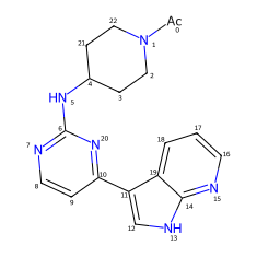 CC(=O)N1CCC(Nc2nccc(-c3c[nH]c4ncccc34)n2)CC1